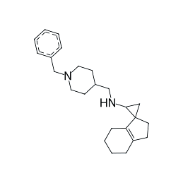 c1ccc(CN2CCC(CNC3CC34CCC3=C4CCCC3)CC2)cc1